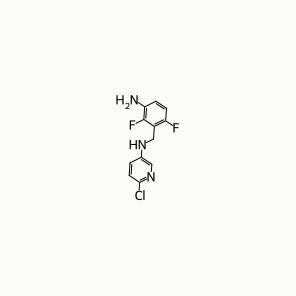 Nc1ccc(F)c(CNc2ccc(Cl)nc2)c1F